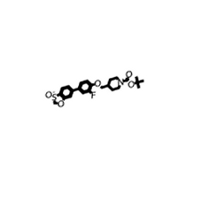 CC(C)(C)OC(=O)N1CCC(COc2ccc(-c3ccc4c(c3)OC[S+]4[O-])cc2F)CC1